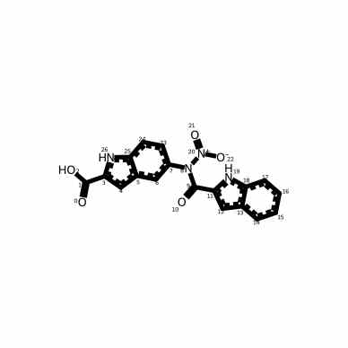 O=C(O)c1cc2cc(N(C(=O)c3cc4ccccc4[nH]3)[N+](=O)[O-])ccc2[nH]1